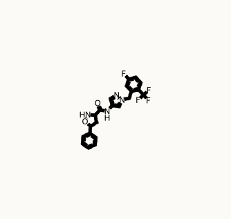 O=C(Nc1cnn(Cc2cc(F)ccc2C(F)(F)F)c1)C1CC(c2ccccc2)ON1